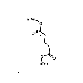 CCCCCCCCCCOC(=O)CCCC(=O)OCCCCCCCCCC